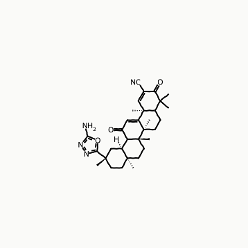 CC1(C)C(=O)C(C#N)=C[C@]2(C)C3=CC(=O)C4[C@@H]5C[C@@](C)(c6nnc(N)o6)CC[C@]5(C)CC[C@@]4(C)[C@]3(C)CCC12